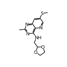 CSc1cnc2c(NCC3OCCO3)nc(C)nc2c1